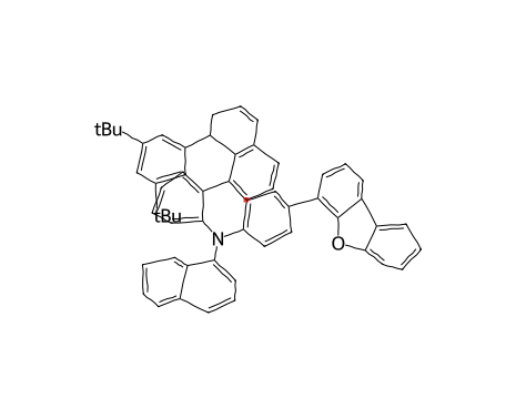 CC(C)(C)c1cc(C2CC=Cc3cccc(-c4ccccc4N(c4ccc(-c5cccc6c5oc5ccccc56)cc4)c4cccc5ccccc45)c32)cc(C(C)(C)C)c1